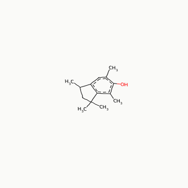 Cc1cc2c(c(C)c1O)C(C)(C)CC2C